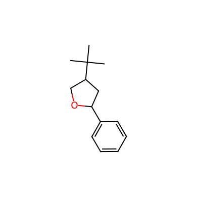 CC(C)(C)C1COC(c2ccccc2)C1